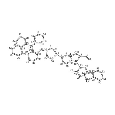 C=Cc1sc2cc(-c3ccc(-c4c5ccccc5c(-c5cccc6ccccc56)c5ccccc45)cc3)ccc2c1-c1cc2c(cc1C)oc1ccccc12